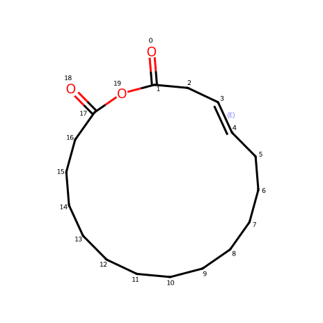 O=C1C/C=C/CCCCCCCCCCCCC(=O)O1